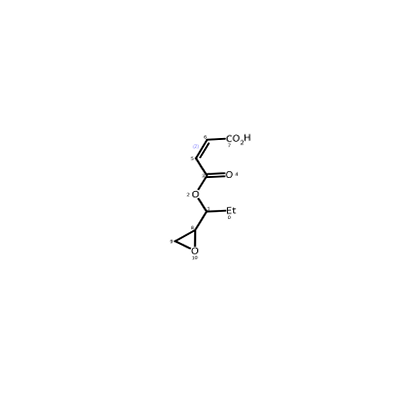 CCC(OC(=O)/C=C\C(=O)O)C1CO1